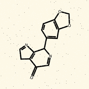 O=C1C=NC(c2ccc3c(c2)OCO3)C2=C1CC=N2